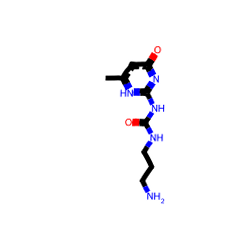 Cc1cc(=O)nc(NC(=O)NCCCN)[nH]1